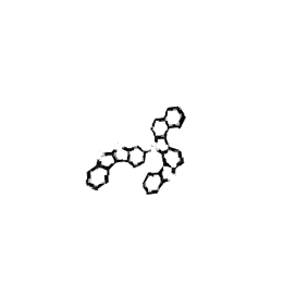 c1ccc2c(c1)ccc1c2c2ccc3oc4ccccc4c3c2n1-c1ccc2c(c1)sc1sc3ccccc3c12